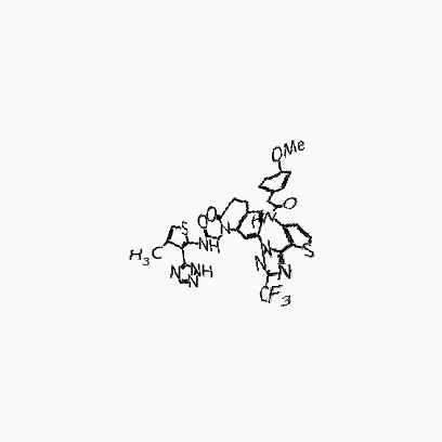 COc1ccc(CC(=O)Nc2ccsc2-c2nc(C(F)(F)F)nn2-c2ccc3c(c2)N(CC(=O)Nc2scc(C)c2-c2ncn[nH]2)C(=O)CC3)cc1